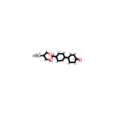 CCCCC1COC(C2CCC(C3CCC(=O)CC3)CC2)OC1